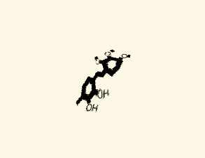 COc1ccc(C=Cc2ccc(C)c(O)c2O)c(OC)c1OC